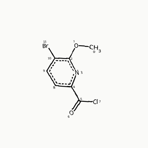 COc1nc(C(=O)Cl)ccc1Br